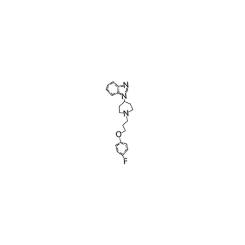 Fc1ccc(OCCCN2CCC(n3cnc4ccccc43)CC2)cc1